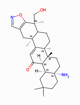 CC1(C)CC[C@]2(N)CC[C@]3(C)[C@H](C(=O)C=C4[C@@]5(C)Cc6cnoc6[C@@](C)(CO)C5CC[C@]43C)[C@@H]2C1